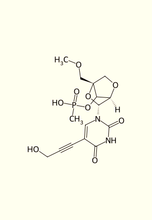 COC[C@@]12CO[C@H](C1OP(C)(=O)O)[C@H](n1cc(C#CCO)c(=O)[nH]c1=O)O2